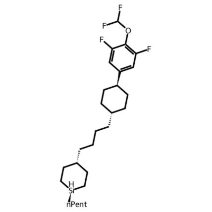 CCCCC[Si@H]1CC[C@H](CCCC[C@H]2CC[C@H](c3cc(F)c(OC(F)F)c(F)c3)CC2)CC1